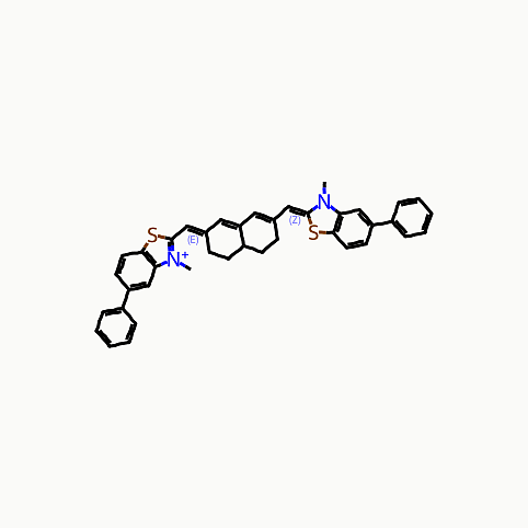 CN1/C(=C/C2=CC3=C/C(=C/c4sc5ccc(-c6ccccc6)cc5[n+]4C)CCC3CC2)Sc2ccc(-c3ccccc3)cc21